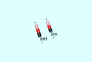 [O]=[InH].[O]=[Sm]